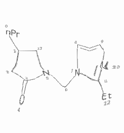 CCCC1CC(=O)N(Cn2ccnc2CC)C1